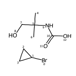 BrC1CC1.CC(C)(CO)NC(=O)O